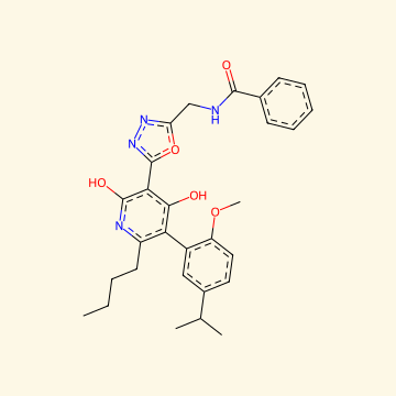 CCCCc1nc(O)c(-c2nnc(CNC(=O)c3ccccc3)o2)c(O)c1-c1cc(C(C)C)ccc1OC